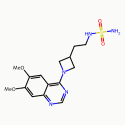 COc1cc2ncnc(N3CC(CCNS(N)(=O)=O)C3)c2cc1OC